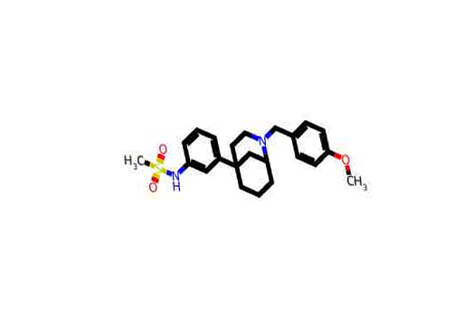 COc1ccc(CN2CCC3(c4cccc(NS(C)(=O)=O)c4)CCCC2C3)cc1